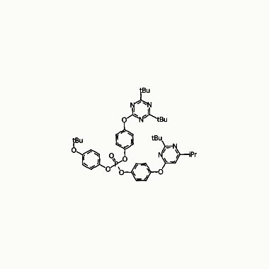 CC(C)c1cc(Oc2ccc(OP(=O)(Oc3ccc(Oc4nc(C(C)(C)C)nc(C(C)(C)C)n4)cc3)Oc3ccc(OC(C)(C)C)cc3)cc2)nc(C(C)(C)C)n1